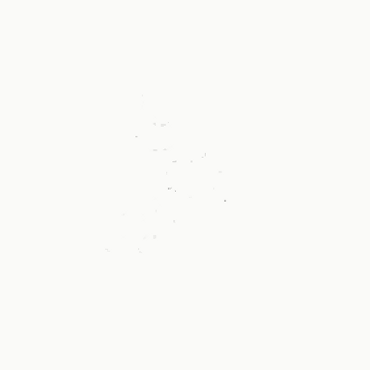 Cc1ccc(S(=O)(=O)N2CC(c3ccc(F)cc3)=CCC(O)C2)cc1